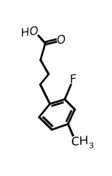 Cc1ccc(CCCC(=O)O)c(F)c1